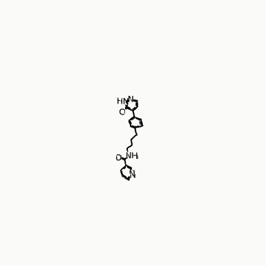 O=C(NCCCCc1ccc(-c2ccn[nH]c2=O)cc1)c1cccnc1